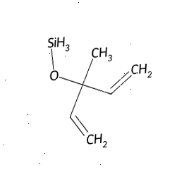 C=CC(C)(C=C)O[SiH3]